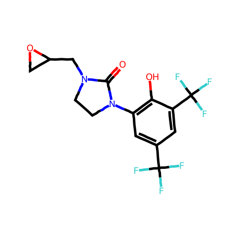 O=C1N(CC2CO2)CCN1c1cc(C(F)(F)F)cc(C(F)(F)F)c1O